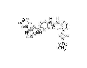 C=CC(=O)N1CC(N2CCC[C@H](NC(=O)Nc3ccc(-c4cc5c(N6CCOCC6)ncnc5[nH]4)cc3)C2)C1